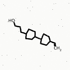 C=CC1CCC(C2CCC(CCCO)CC2)CC1